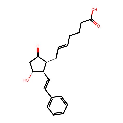 O=C(O)CCCC=CC[C@H]1C(=O)C[C@@H](O)[C@@H]1C=Cc1ccccc1